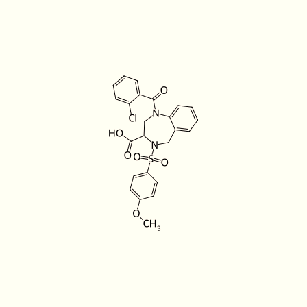 COc1ccc(S(=O)(=O)N2Cc3ccccc3N(C(=O)c3ccccc3Cl)CC2C(=O)O)cc1